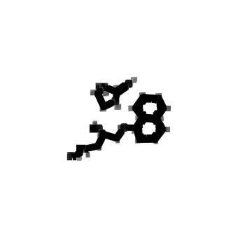 CC(C)NCC(O)COc1cccc2ccccc12.O=C1NCCO1